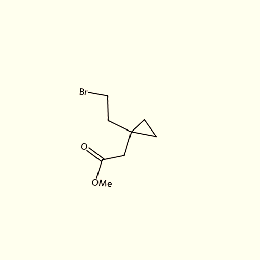 COC(=O)CC1(CCBr)CC1